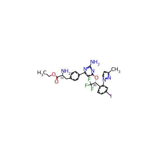 CCOC(=O)[C@@H](N)Cc1ccc(-c2cc(O[C@H](c3ccc(I)cc3-n3ccc(C)n3)C(F)(F)F)nc(N)n2)cc1